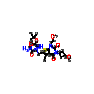 COCCn1c(=O)n([C@H]2C[C@@H](OC)C2)c(=O)c2c(C)c(CN(NC(=O)OC(C)(C)C)C(N)=O)sc21